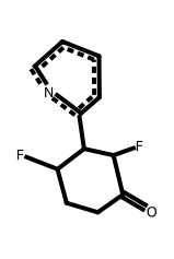 O=C1CCC(F)C(c2ccccn2)C1F